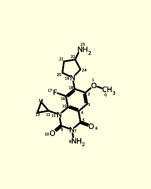 COc1cc2c(=O)n(N)c(=O)n(C3CC3)c2c(F)c1N1CCC(N)C1